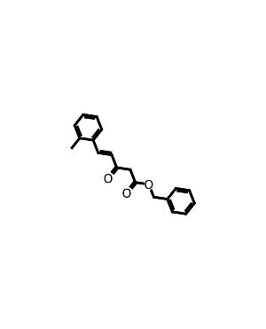 Cc1ccccc1C=CC(=O)CC(=O)OCc1ccccc1